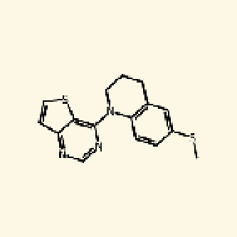 CSc1ccc2c(c1)CCCN2c1ncnc2ccsc12